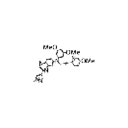 COc1ccc(C#CCN(c2cc(OC)cc(OC)c2)c2ccc3ncc(-c4cnn(C)c4)nc3c2)nc1